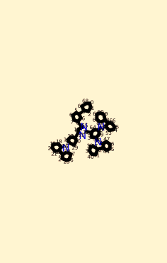 c1ccc(-c2cccc(-c3cc(-c4ccc(-n5c6ccccc6c6ccccc65)cc4)nc(-c4cc(-n5c6ccccc6c6ccccc65)cc(-n5c6ccccc6c6ccccc65)c4)n3)c2)cc1